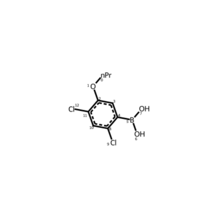 CCCOc1cc(B(O)O)c(Cl)cc1Cl